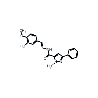 COc1ccc(/C=N/NC(=O)c2cc(-c3ccccc3)nn2C)cc1O